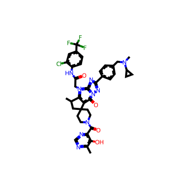 Cc1ncnc(C(=O)N2CCC3(CC2)CC(C)c2c3c(=O)n3nc(-c4ccc(CN(C)C5CC5)cc4)nc3n2CC(=O)Nc2ccc(C(F)(F)F)cc2Cl)c1O